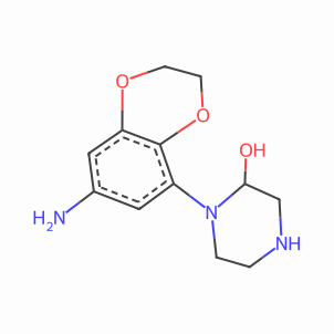 Nc1cc2c(c(N3CCNCC3O)c1)OCCO2